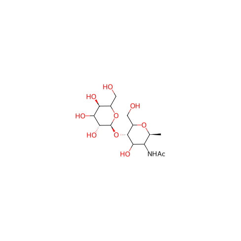 CC(=O)NC1C(O)[C@H](O[C@@H]2OC(CO)[C@H](O)C(O)[C@H]2O)C(CO)O[C@H]1C